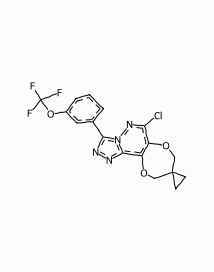 FC(F)(F)Oc1cccc(-c2nnc3c4c(c(Cl)nn23)OCC2(CC2)CO4)c1